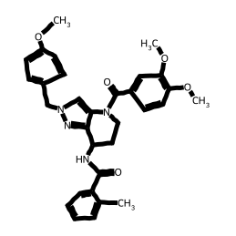 COc1ccc(Cn2cc3c(n2)C(NC(=O)c2ccccc2C)CCN3C(=O)c2ccc(OC)c(OC)c2)cc1